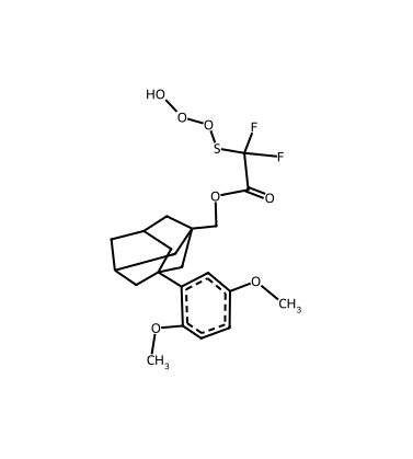 COc1ccc(OC)c(C23CC4CC(CC(COC(=O)C(F)(F)SOOO)(C4)C2)C3)c1